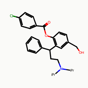 CC(C)N(CCC(c1ccccc1)c1cc(CO)ccc1OC(=O)c1ccc(Cl)cc1)C(C)C